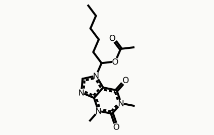 CCCCCC(OC(C)=O)n1cnc2c1c(=O)n(C)c(=O)n2C